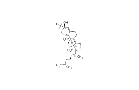 CC(C)CCC[C@@H](C)[C@H]1CCC2=C3CCC4=C[C@@](O)(C(F)(F)F)CC[C@]4(C)[C@H]3CC[C@@]21C